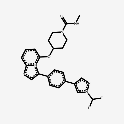 CNC(=O)N1CCC(Oc2cccc3ncc(-c4ccc(-c5cnn(C(F)F)c5)cc4)n23)CC1